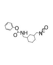 O=C=NCC1CCCC(CNC(=O)Oc2ccccc2)C1